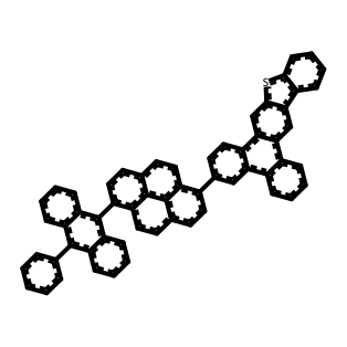 c1ccc(-c2c3ccccc3c(-c3ccc4ccc5c(-c6ccc7c(c6)c6ccccc6c6cc8c(cc76)sc6ccccc68)ccc6ccc3c4c65)c3ccccc23)cc1